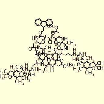 Cc1c(C)c(S(=O)(=O)NC(=N)NCCC[C@H](NC(=O)[C@H](C)NC(=O)[C@H](CC(=O)OC(C)(C)C)NC(=O)[C@H](C)NC(=O)[C@H](CCCNC(=N)NS(=O)(=O)c2c(C)c(C)c3c(c2C)CC(C)(C)O3)NC(=O)[C@H](C)NC(=O)[C@H](CC(=O)OC(C)(C)C)NC(=O)OCC2c3ccccc3-c3ccccc32)C(=O)N[C@@H](C)C(=O)N[C@@H](CC(=O)OC(C)(C)C)C(=O)N[C@@H](C)C(=O)O)c(C)c2c1OC(C)(C)C2